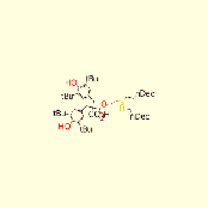 CCCCCCCCCCCC[SH](CCCCCCCCCCCC)CCOC(=O)C(Cc1cc(C(C)(C)C)c(O)c(C(C)(C)C)c1)(Cc1cc(C(C)(C)C)c(O)c(C(C)(C)C)c1)C(=O)O